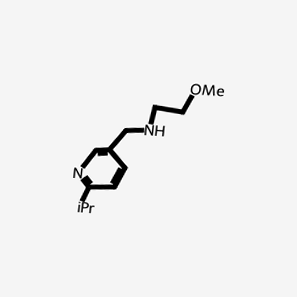 COCCNCc1ccc(C(C)C)nc1